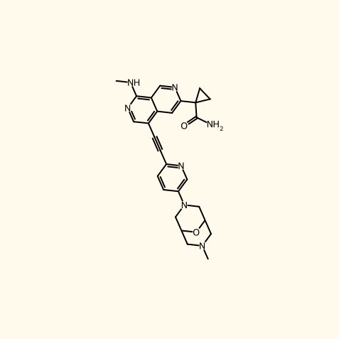 CNc1ncc(C#Cc2ccc(N3CC4CN(C)CC(C3)O4)cn2)c2cc(C3(C(N)=O)CC3)ncc12